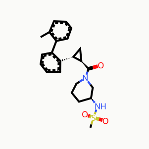 Cc1ccccc1-c1ccccc1[C@@H]1C[C@H]1C(=O)N1CCC[C@H](NS(C)(=O)=O)C1